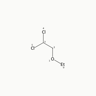 CCOCC(Cl)Cl